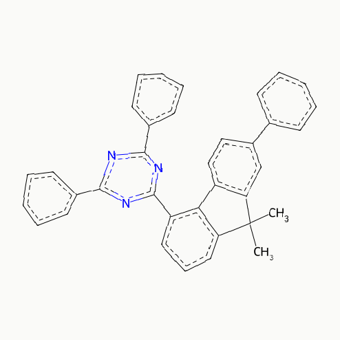 CC1(C)c2cc(-c3ccccc3)ccc2-c2c(-c3nc(-c4ccccc4)nc(-c4ccccc4)n3)cccc21